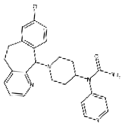 NC(=O)N(c1ccncc1)C1CCN(C2c3ccc(Cl)cc3CCc3cccnc32)CC1